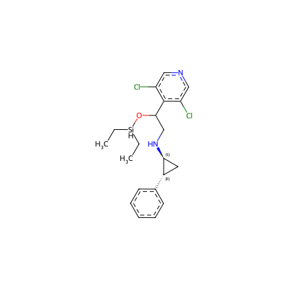 CC[SiH](CC)OC(CN[C@H]1C[C@@H]1c1ccccc1)c1c(Cl)cncc1Cl